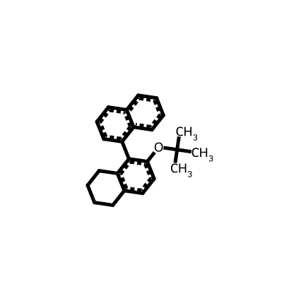 CC(C)(C)Oc1ccc2c(c1-c1cccc3ccccc13)CCCC2